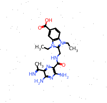 CCn1c(CNC(=O)c2nc(C(C)=N)c(N)nc2N)[n+](CC)c2ccc(C(=O)O)cc21